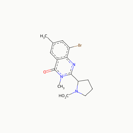 Cc1cc(Br)c2nc(C3CCCN3C(=O)O)n(C)c(=O)c2c1